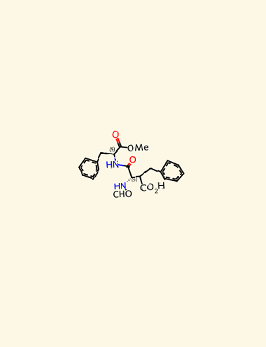 COC(=O)[C@H](Cc1ccccc1)NC(=O)[C@@H](NC=O)C(Cc1ccccc1)C(=O)O